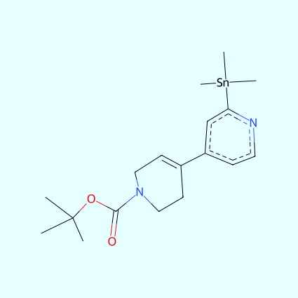 CC(C)(C)OC(=O)N1CC=C(c2ccn[c]([Sn]([CH3])([CH3])[CH3])c2)CC1